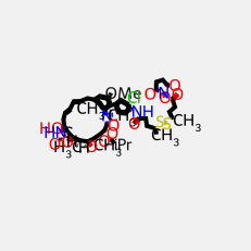 COc1cc2cc(c1-c1ccc(NC(=O)CCC(C)SSC(C)CCC(=O)ON3C(=O)CCC3=O)c(Cl)c1)N(C)C(=O)C[C@H](OC(=O)C(C)C)[C@]1(C)O[C@H]1[C@H](C)[C@@H]1C[C@](O)(C/C=C/C=C(\C)C2)NC(=O)O1